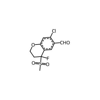 CS(=O)(=O)C1(F)CCOc2cc(Cl)c(C=O)cc21